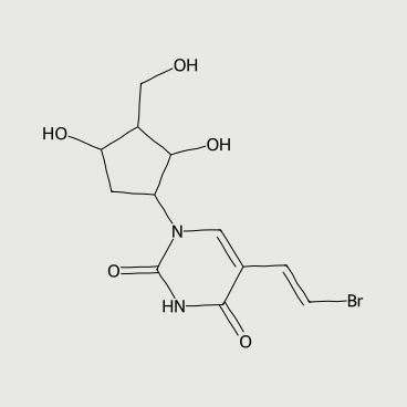 O=c1[nH]c(=O)n(C2CC(O)C(CO)C2O)cc1C=CBr